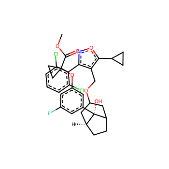 COC(=O)C1(Oc2cc(F)cc([C@@]3(O)C4CC[C@H]3CC(OCc3c(-c5c(Cl)cccc5Cl)noc3C3CC3)C4)c2)CC1